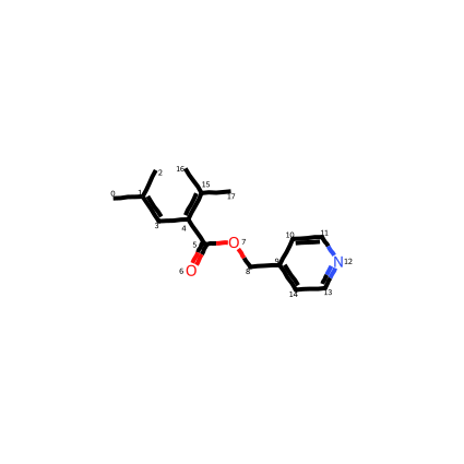 CC(C)=CC(C(=O)OCc1ccncc1)=C(C)C